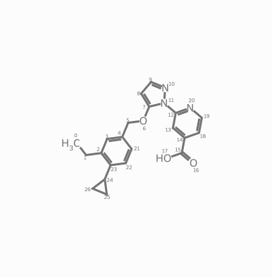 CCc1cc(COc2ccnn2-c2cc(C(=O)O)ccn2)ccc1C1CC1